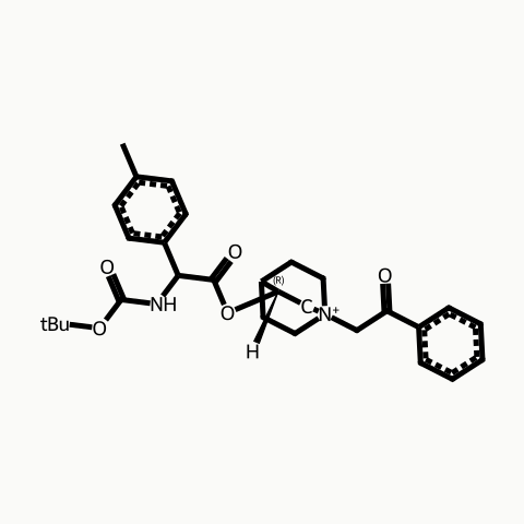 Cc1ccc(C(NC(=O)OC(C)(C)C)C(=O)O[C@H]2C[N+]3(CC(=O)c4ccccc4)CCC2CC3)cc1